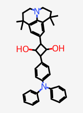 CC1(C)CCN2CCC(C)(C)c3cc(C4C(O)C(c5ccc(N(c6ccccc6)c6ccccc6)cc5)C4O)cc1c32